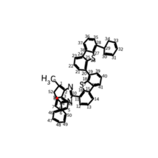 C\C1=C(c2ccccc2)/N=C(c2cccc3c2sc2c(-c4cccc5c4sc4c(C6C=CC=CC6)cccc45)cccc23)\N=C(\c2ccccc2)CC1